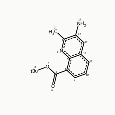 Cc1nc2c(C(=O)OC(C)(C)C)cccc2cc1N